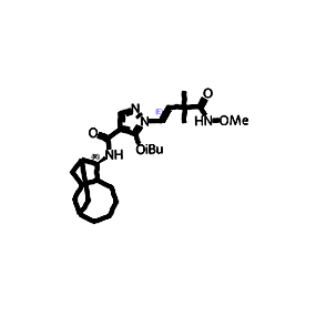 CONC(=O)C(C)(C)/C=C/n1ncc(C(=O)N[C@@H]2C3CC4CCCCC2C(C4)C3)c1OCC(C)C